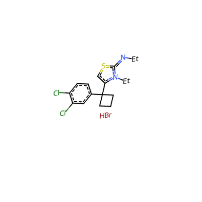 Br.CC/N=c1/scc(C2(c3ccc(Cl)c(Cl)c3)CCC2)n1CC